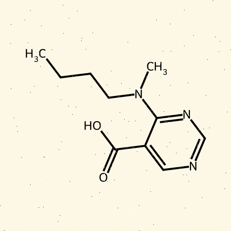 CCCCN(C)c1ncncc1C(=O)O